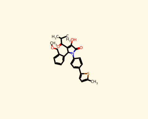 COCc1ccccc1C1C(C(=O)C(C)C)=C(O)C(=O)N1c1ccc(-c2ccc(C)s2)cc1